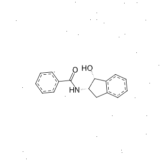 O=C(N[C@H]1Cc2ccccc2[C@H]1O)c1[c]cccc1